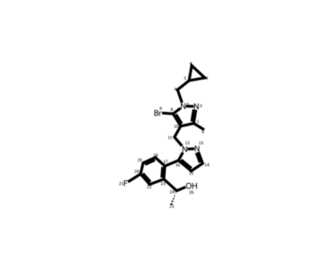 Cc1nn(CC2CC2)c(Br)c1Cn1nccc1-c1ccc(F)cc1[C@@H](C)O